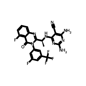 C[C@H](Nc1nc(N)nc(N)c1C#N)c1nc2cccc(F)c2c(=O)n1-c1cc(F)cc(C(F)(F)F)c1